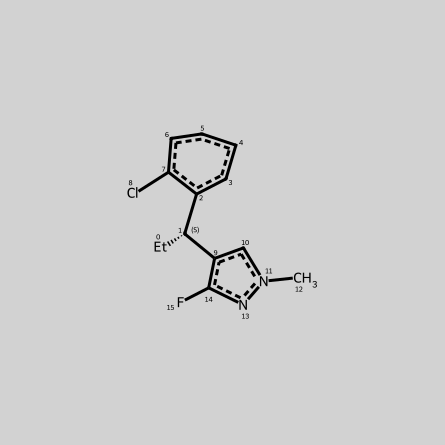 CC[C@H](c1ccccc1Cl)c1cn(C)nc1F